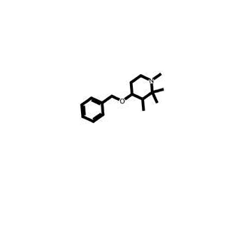 CC1C(OCc2ccccc2)CCN(C)C1(C)C